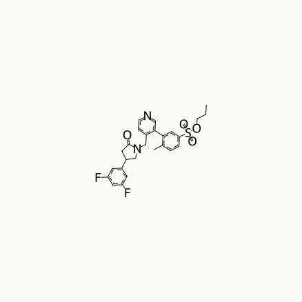 CCCOS(=O)(=O)c1ccc(C)c(-c2cnccc2CN2CC(c3cc(F)cc(F)c3)CC2=O)c1